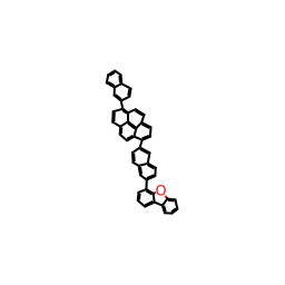 c1ccc2cc(-c3ccc4ccc5c(-c6ccc7cc(-c8cccc9c8oc8ccccc89)ccc7c6)ccc6ccc3c4c65)ccc2c1